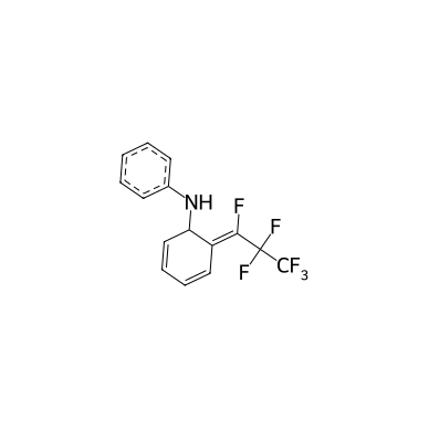 FC(=C1C=CC=CC1Nc1ccccc1)C(F)(F)C(F)(F)F